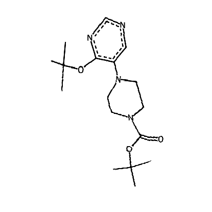 CC(C)(C)OC(=O)N1CCN(c2cncnc2OC(C)(C)C)CC1